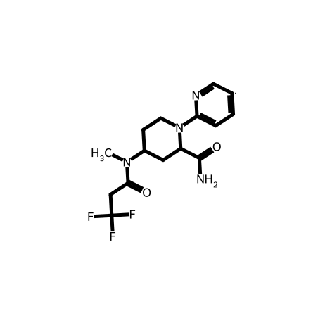 CN(C(=O)CC(F)(F)F)C1CCN(c2cc[c]cn2)C(C(N)=O)C1